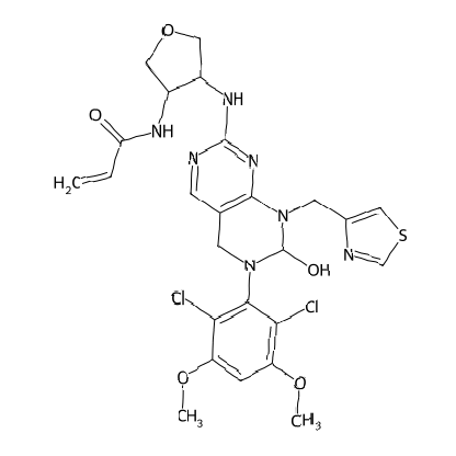 C=CC(=O)NC1COCC1Nc1ncc2c(n1)N(Cc1cscn1)C(O)N(c1c(Cl)c(OC)cc(OC)c1Cl)C2